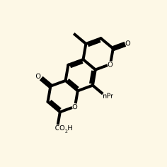 CCCc1c2oc(=O)cc(C)c2cc2c(=O)cc(C(=O)O)oc12